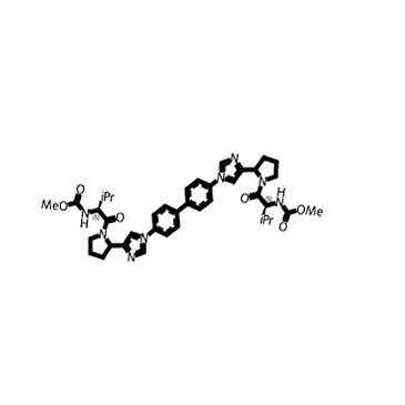 COC(=O)N[C@H](C(=O)N1CCCC1c1cn(-c2ccc(-c3ccc(-n4cnc(C5CCCN5C(=O)[C@@H](NC(=O)OC)C(C)C)c4)cc3)cc2)cn1)C(C)C